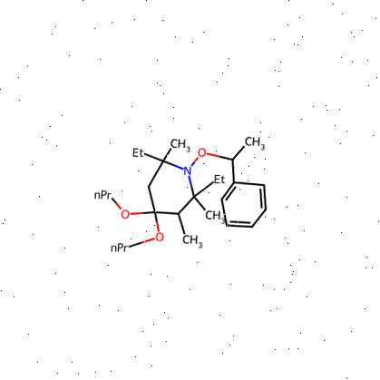 CCCOC1(OCCC)CC(C)(CC)N(OC(C)c2ccccc2)C(C)(CC)C1C